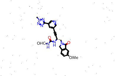 COc1ccc2c(c1)C(=O)N(C[C@@H](C#Cc1cncc(-c3nnn(C)n3)c1)NC(=O)NC=O)C2